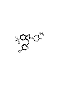 CS(=O)(=O)c1ccc2nc(N3CCC(F)C(N)C3)n(Cc3ccc(Cl)cn3)c2c1